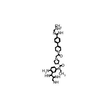 CCN(C(=O)[C@@H]1CCN(CC(=O)N2CC=C(c3ccc(C(=N)/N=C\NC)cc3)CC2)C1)c1ccc(N)c(C(=N)C(=N)C=N)c1